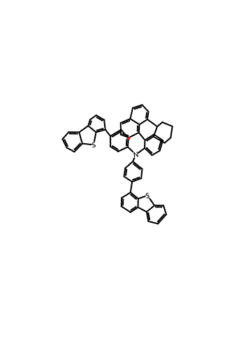 c1ccc(N(c2ccc(-c3cccc4c3sc3ccccc34)cc2)c2ccc(-c3cccc4c3sc3ccccc34)cc2)c(-c2cccc3cccc(C4CCCCC4)c23)c1